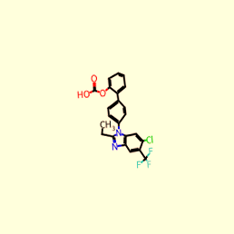 CCc1nc2cc(C(F)(F)F)c(Cl)cc2n1-c1ccc(-c2ccccc2OC(=O)O)cc1